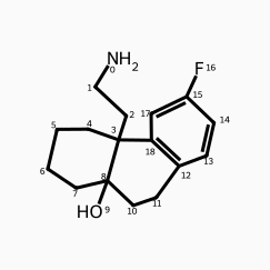 NCCC12CCCCC1(O)CCc1ccc(F)cc12